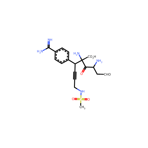 CS(=O)(=O)NCC#CC(c1ccc(C(=N)N)cc1)C(N)(C(=O)O)C(=O)C(N)CC=O